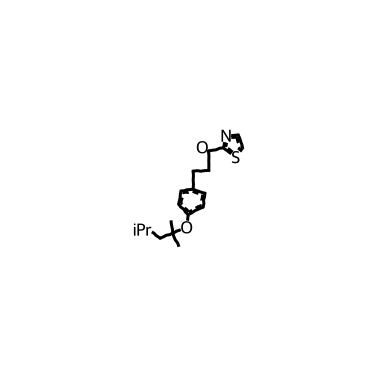 CC(C)CC(C)(C)Oc1ccc(CCC(=O)c2nccs2)cc1